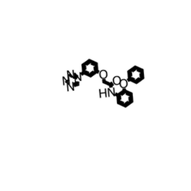 O=C(COc1cccc(-n2cnnn2)c1)Nc1ccccc1Oc1ccccc1